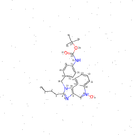 CCCCc1nc2c[n+]([O-])c3ccccc3c2n1Cc1ccc(NC(=O)OC(C)(C)C)cc1